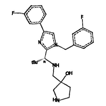 CC(C)(C)[C@@H](NCC1(O)CCNC1)c1nc(-c2cccc(F)c2)cn1Cc1cccc(F)c1